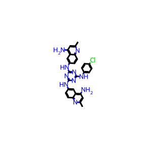 Cc1cc(N)c2cc(Nc3nc(Nc4ccc(Cl)cc4)nc(Nc4ccc5nc(C)cc(N)c5c4)n3)ccc2n1